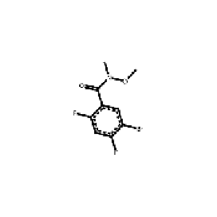 CON(C)C(=O)c1cc(Br)c(F)cc1F